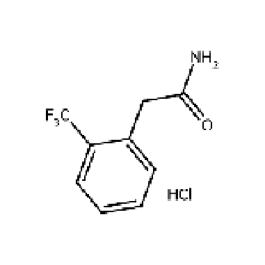 Cl.NC(=O)Cc1ccccc1C(F)(F)F